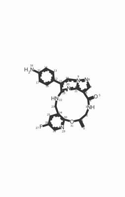 C=C1CNC(=O)c2cnn3cc(-c4ccc(N)cc4)c(nc23)NCc2cc(F)cnc2O1